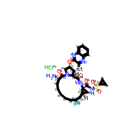 CCc1nc2ccccc2nc1O[C@@H]1C[C@H]2C(=O)N[C@]3(C(=O)NS(=O)(=O)C4CC4)C[C@H]3CC(F)(F)CCCCC[C@H](N)C(=O)N2C1.Cl